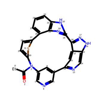 CCC(=O)n1c2cncc(c2)c2cc3c(cn2)[nH]nc3c2nc3c(cccc3c3ccc1s3)[nH]2